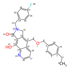 CCc1ccc(COCc2c3c(c(O)c4ncccc24)C(=O)N(Cc2ccc(F)cc2)C3)cc1